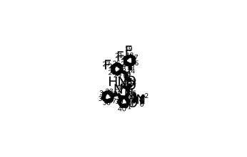 CN(C)C(=O)CN1C(=O)C(NC(=O)[C@@H](Cc2ccc(F)c(F)c2)c2ccc(F)cc2)N=C(c2ccccc2)c2ccccc21